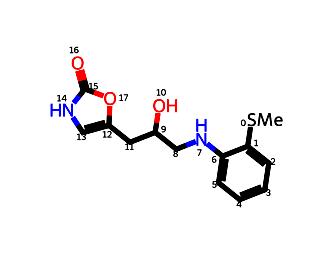 CSc1ccccc1NCC(O)Cc1c[nH]c(=O)o1